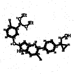 CCOP(OCC)c1cc(Oc2cc3nc(-c4ccc(C5(CO)CC5)cc4)c(C)cc3[nH]2)ccc1C